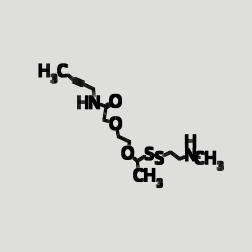 CC#CCNC(=O)COCCOC(C)SSCCNC